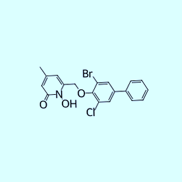 Cc1cc(COc2c(Cl)cc(-c3ccccc3)cc2Br)n(O)c(=O)c1